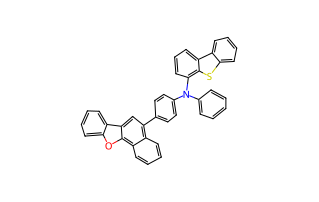 c1ccc(N(c2ccc(-c3cc4c5ccccc5oc4c4ccccc34)cc2)c2cccc3c2sc2ccccc23)cc1